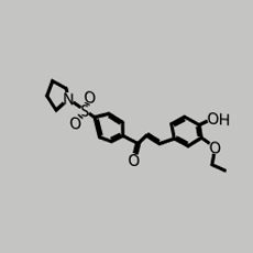 CCOc1cc(/C=C/C(=O)c2ccc(S(=O)(=O)N3CCCC3)cc2)ccc1O